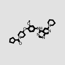 COc1cc(Nc2ncnc3cnc(N4CCCCC4)cc23)ccc1OC1CCN(C(=O)C2CCCC2)CC1